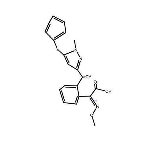 CO/N=C(/C(=O)O)c1ccccc1C(O)c1cc(Sc2ccccc2)n(C)n1